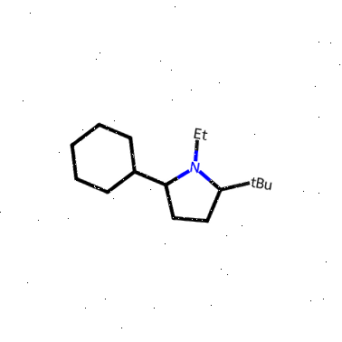 CCN1C(C2CCCCC2)CCC1C(C)(C)C